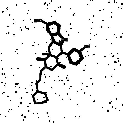 COc1ccc2[nH]c3c(c2c1)CC1(C)C(=O)N(CCCN2CCCCC2)CC(=O)N1C3c1cccc(O)c1